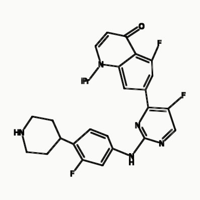 CC(C)n1ccc(=O)c2c(F)cc(-c3nc(Nc4ccc(C5CCNCC5)c(F)c4)ncc3F)cc21